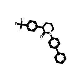 O=C1C(c2c[c]c(C(F)(F)F)cc2)CCCN1c1ccc(-c2ccccc2)cc1